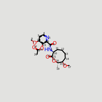 COc1ccnc(C(=O)N[C@H]2CCCC[C@@H](OC)[C@H](C)OC2=O)c1OC(C)=O